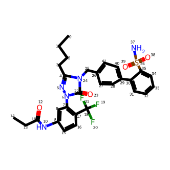 CCCCc1nn(-c2cc(NC(=O)CC)ccc2C(F)(F)F)c(=O)n1Cc1ccc(-c2ccccc2S(N)(=O)=O)cc1